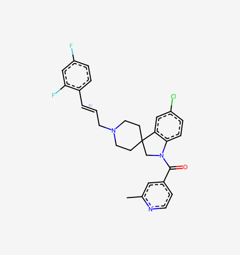 Cc1cc(C(=O)N2CC3(CCN(C/C=C/c4ccc(F)cc4F)CC3)c3cc(Cl)ccc32)ccn1